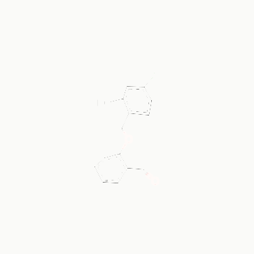 Cc1cc(Cl)ccc1COc1ccccc1C=O